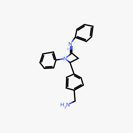 NCc1ccc(C2C/C(=N\c3ccccc3)N2c2ccccc2)cc1